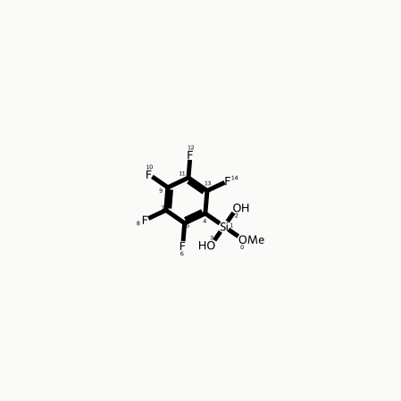 CO[Si](O)(O)c1c(F)c(F)c(F)c(F)c1F